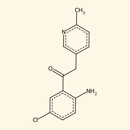 Cc1ccc(CC(=O)c2cc(Cl)ccc2N)cn1